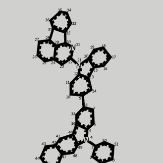 c1ccc(-n2c3ccc(-c4ccc5c(c4)c4ccccc4n5-c4cc5cccc6c5c(n4)-c4ccccc4-6)cc3c3cc4ccccc4cc32)cc1